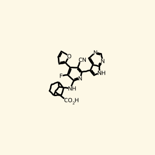 N#Cc1c(-c2c[nH]c3ncncc23)nc(NC2C3CCC(CC3)C2C(=O)O)c(F)c1-c1ccco1